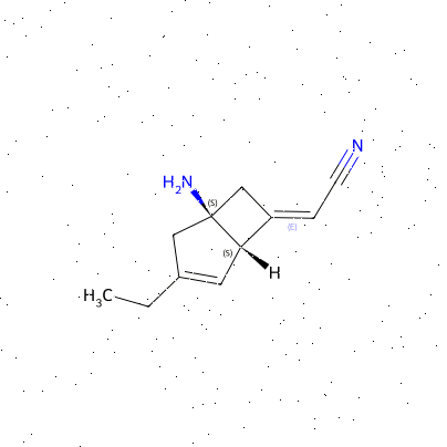 CCC1=C[C@H]2/C(=C/C#N)C[C@@]2(N)C1